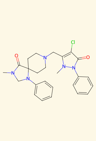 CN1CN(c2ccccc2)C2(CCN(Cc3c(Cl)c(=O)n(-c4ccccc4)n3C)CC2)C1=O